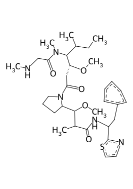 CCC(C)C([C@@H](CC(=O)N1CCCC1C(OC)C(C)C(=O)NC(Cc1ccccc1)c1nccs1)OC)N(C)C(=O)CNC